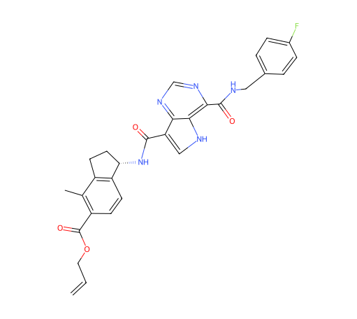 C=CCOC(=O)c1ccc2c(c1C)CC[C@@H]2NC(=O)c1c[nH]c2c(C(=O)NCc3ccc(F)cc3)ncnc12